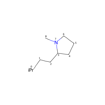 CC(C)CCC1CCCN1C